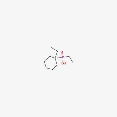 CCC1(P(=O)(O)CC)CCCCC1